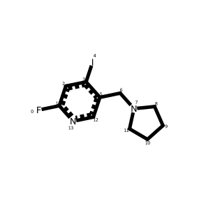 Fc1cc(I)c(CN2CCCC2)cn1